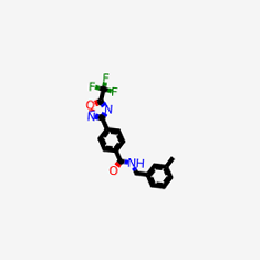 Cc1cccc(CNC(=O)c2ccc(-c3noc(C(F)(F)F)n3)cc2)c1